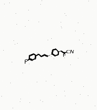 N#CC(F)=C[C@H]1CC[C@H](CCCCc2ccc(F)cc2)CC1